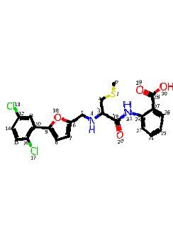 CSCC(NCc1ccc(-c2cc(Cl)ccc2Cl)o1)C(=O)Nc1ccccc1C(=O)O